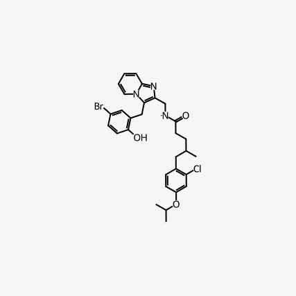 CC(CCC(=O)[N]Cc1nc2ccccn2c1Cc1cc(Br)ccc1O)Cc1ccc(OC(C)C)cc1Cl